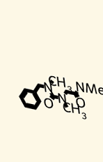 CNC(=O)CN(C)C(=O)N(C)Cc1ccccc1